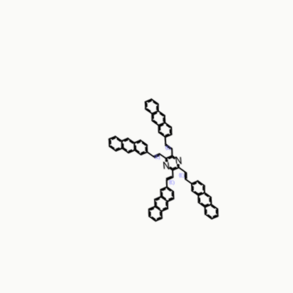 C(=C\c1nc(/C=C/c2ccc3cc4ccccc4cc3c2)c(/C=C/c2ccc3cc4ccccc4cc3c2)nc1/C=C/c1ccc2cc3ccccc3cc2c1)/c1ccc2cc3ccccc3cc2c1